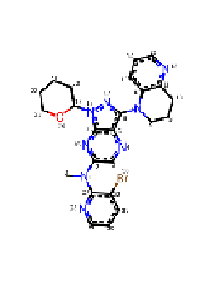 CN(c1cnc2c(N3CCCc4ncccc43)nn(C3CCCCO3)c2n1)c1ncccc1Br